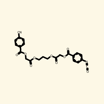 N#Cc1ccc(C(=O)OCC(=O)OCCCOC(=O)COC(=O)c2ccc(N=C=O)cc2)cc1